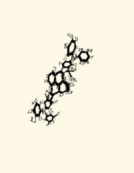 Cc1cc(C)cc(N(c2ccccc2)c2ccc3c(c2)oc2c4cccc5c6c(c7cccc(c32)c7c54)C(C)(C)c2cc(N(c3ccccc3)c3ccccc3)ccc2-6)c1